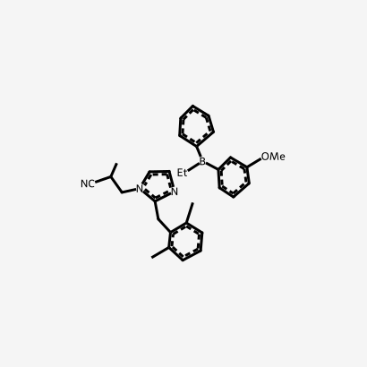 CCB(c1ccccc1)c1cccc(OC)c1.Cc1cccc(C)c1Cc1nccn1CC(C)C#N